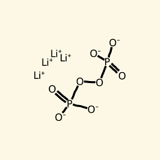 O=P([O-])([O-])OOP(=O)([O-])[O-].[Li+].[Li+].[Li+].[Li+]